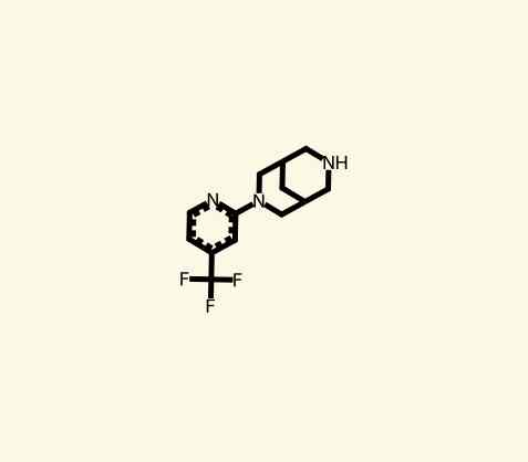 FC(F)(F)c1ccnc(N2CC3CNCC(C3)C2)c1